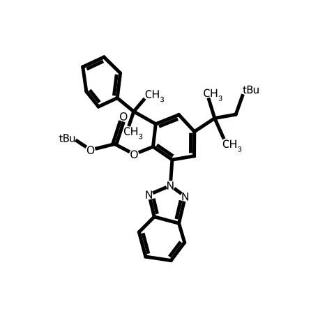 CC(C)(C)CC(C)(C)c1cc(-n2nc3ccccc3n2)c(OC(=O)OC(C)(C)C)c(C(C)(C)c2ccccc2)c1